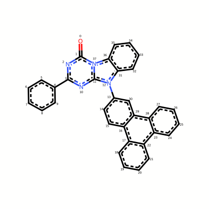 O=c1nc(-c2ccccc2)nc2n(-c3ccc4c5ccccc5c5ccccc5c4c3)c3ccccc3n12